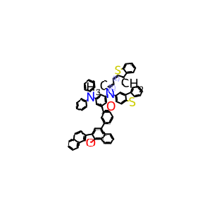 C=c1/c(=C\C=C(/C)N(c2ccc3sc4ccccc4c3c2)c2cc(N(c3ccccc3)c3ccccc3)cc3c2oc2ccc(-c4cc5c6ccc7ccccc7c6oc5c5ccccc45)cc23)sc2ccccc12